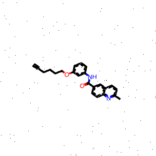 C#CCCCCOc1cccc(NC(=O)c2ccc3nc(C)ccc3c2)c1